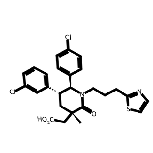 C[C@@]1(CC(=O)O)C[C@H](c2cccc(Cl)c2)[C@@H](c2ccc(Cl)cc2)N(CCCc2nccs2)C1=O